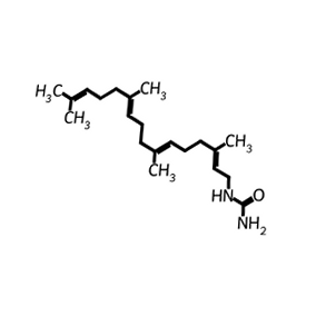 CC(C)=CCCC(C)=CCCC(C)=CCCC(C)=CCNC(N)=O